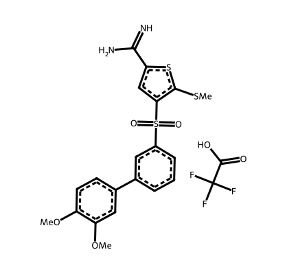 COc1ccc(-c2cccc(S(=O)(=O)c3cc(C(=N)N)sc3SC)c2)cc1OC.O=C(O)C(F)(F)F